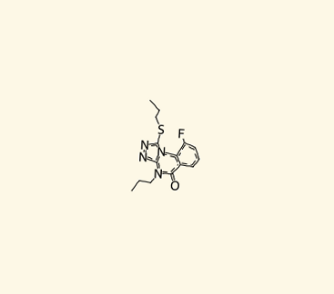 CCCSc1nnc2n(CCC)c(=O)c3cccc(F)c3n12